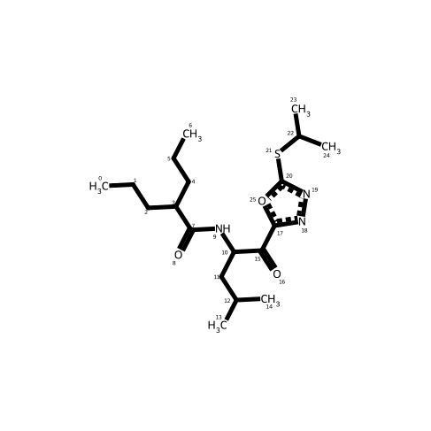 CCCC(CCC)C(=O)NC(CC(C)C)C(=O)c1nnc(SC(C)C)o1